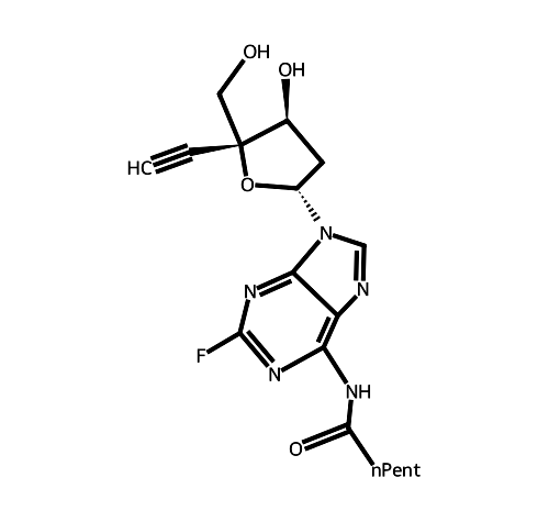 C#C[C@]1(CO)O[C@@H](n2cnc3c(NC(=O)CCCCC)nc(F)nc32)C[C@@H]1O